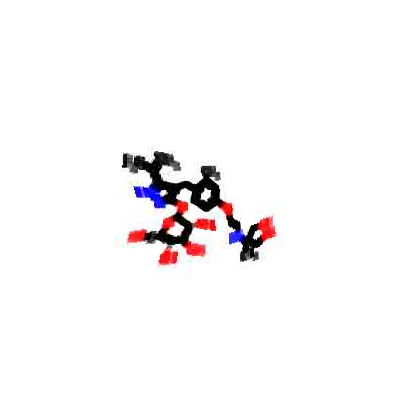 Cc1cc(OCCNC(C)(CO)CO)ccc1Cc1c(O[C@@H]2O[C@H](CO)[C@@H](O)[C@H](O)[C@H]2O)n[nH]c1C(C)C